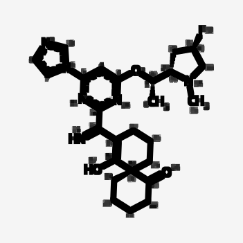 C[C@H](Oc1cc(-n2ccnc2)nc(C(=N)C2=C(O)[C@]3(CCCCC3=O)CCC2)n1)[C@@H]1C[C@@H](F)CN1C